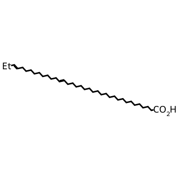 CC/C=C/CCCCCCCCC/C=C/CCCCCCCCCCCCCCCCCCCCCC(=O)O